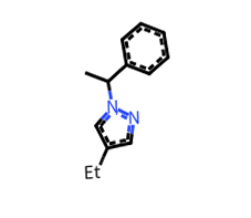 CCc1cnn(C(C)c2ccccc2)c1